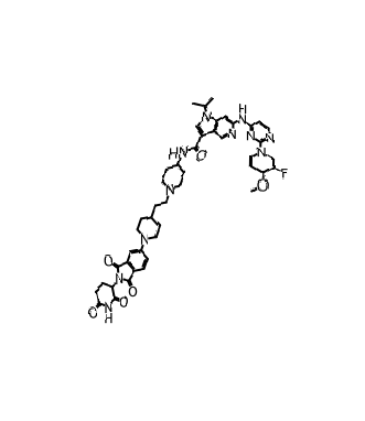 CO[C@H]1CCN(c2nccc(Nc3cc4c(cn3)c(C(=O)NC3CCN(CCC5CCN(c6ccc7c(c6)C(=O)N(C6CCC(=O)NC6=O)C7=O)CC5)CC3)cn4C(C)C)n2)C[C@H]1F